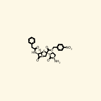 NN1CCN([C@]2(C(=O)OCc3ccc([N+](=O)[O-])cc3)CN3C(=O)[C@@H](NC(=O)Cc4ccccc4)[C@H]3S2)C1=O